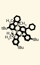 CC(C)(C)c1ccc2c(c1)C1=C(B3c4cc(C(C)(C)C)cc5c4N(c4cc(C6CCCCC6)c6c7cc(C(C)(C)C)ccc7n1c6c43)C1(C)CCCCC51C)[Si]2(C)C